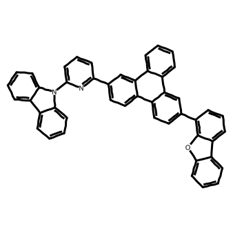 c1cc(-c2ccc3c4ccc(-c5cccc6c5oc5ccccc56)cc4c4ccccc4c3c2)nc(-n2c3ccccc3c3ccccc32)c1